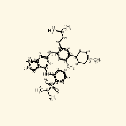 Cc1cc(Nc2nc(Nc3ccccc3S(=O)(=O)C(C)C)c3cn[nH]c3n2)c(CCC(C)C)cc1C1CCN(C)CC1